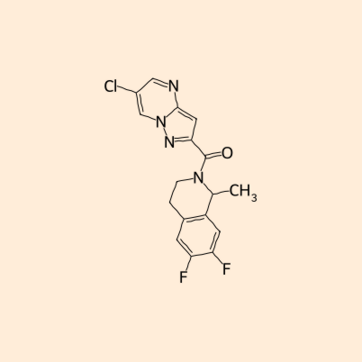 CC1c2cc(F)c(F)cc2CCN1C(=O)c1cc2ncc(Cl)cn2n1